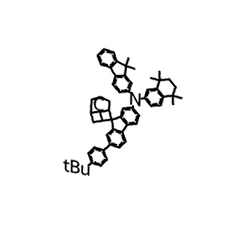 CC(C)(C)c1ccc(-c2ccc3c(c2)C2(c4cc(N(c5ccc6c(c5)C(C)(C)CCC6(C)C)c5ccc6c(c5)C(C)(C)c5ccccc5-6)ccc4-3)C3CC4CC5CC2C53C4)cc1